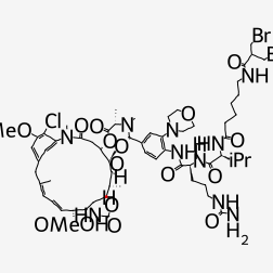 COc1cc2cc(c1Cl)N(C)C(=O)C[C@H](OC(=O)[C@H](C)N(C)C(=O)c1ccc(NC(=O)[C@H](CCCNC(N)=O)NC(=O)[C@@H](NC(=O)CCCCCNC(=O)C(CBr)CBr)C(C)C)c(N3CCOCC3)c1)[C@]1(C)O[C@H]1[C@H](C)[C@@H]1C[C@@](O)(NC(=O)O1)[C@H](OC)/C=C/C=C(\C)C2